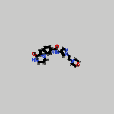 O=C(Nc1cnn(CCN2CCOCC2)c1)c1ccc2cc3n(c2c1)CCCNC3=O